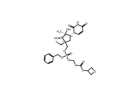 C[C@@]1(O)[C@H](O)[C@@](CF)(COP(=O)(OCOC(=O)OC2COC2)OCc2ccccc2)C[C@H]1n1ccc(=O)[nH]c1=O